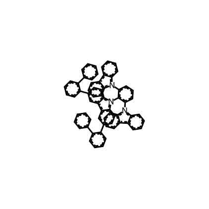 c1ccc(-c2ccccc2-c2ccc3c(c2)c2cc(-c4ccccc4-c4ccccc4)ccc2n3-c2c(-n3c4ccccc4c4ccccc43)cccc2-n2c3ccccc3c3ccccc32)cc1